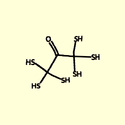 O=C(C(S)(S)S)C(S)(S)S